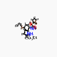 CCCSc1ccc(NS(=O)(=O)c2cccs2)c2[nH]c(C(=O)OCC)cc12